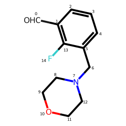 O=Cc1cccc(CN2CCOCC2)c1F